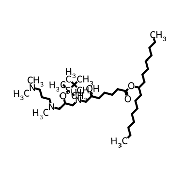 CCCCCCCCC(CCCCCCCC)OC(=O)CCCCC(O)CNCC(CN(C)CCCN(C)C)O[Si](C)(C)C(C)(C)C